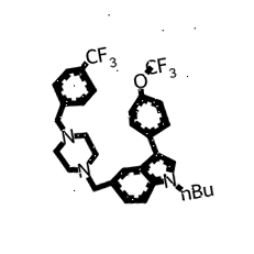 CCCCn1cc(-c2ccc(OC(F)(F)F)cc2)c2cc(CN3CCN(Cc4ccc(C(F)(F)F)cc4)CC3)ccc21